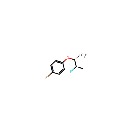 C[C@@H](F)[C@H](Oc1ccc(Br)cc1)C(=O)O